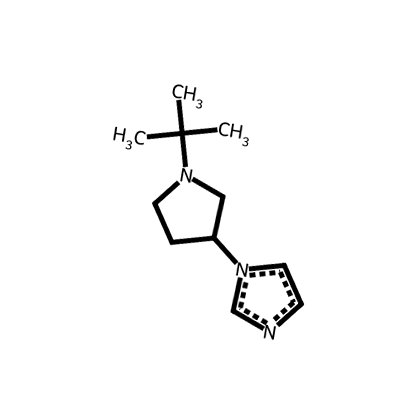 CC(C)(C)N1CCC(n2ccnc2)C1